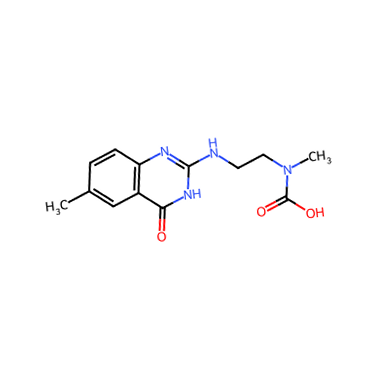 Cc1ccc2nc(NCCN(C)C(=O)O)[nH]c(=O)c2c1